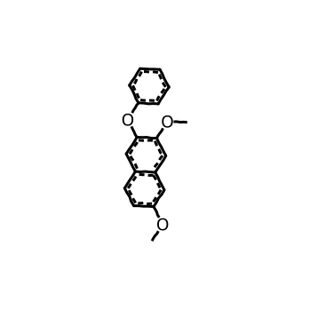 COc1ccc2cc(Oc3ccccc3)c(OC)cc2c1